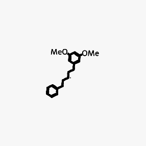 COc1cc(CC[CH]CCc2ccccc2)cc(OC)c1